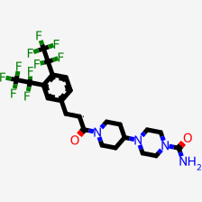 NC(=O)N1CCN(C2CCN(C(=O)[CH]Cc3ccc(C(F)(F)C(F)(F)F)c(C(F)(F)C(F)(F)F)c3)CC2)CC1